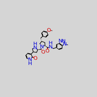 COc1ccc(C[C@@H]2C[C@@H](C(=O)NCc3ccc4c(c3)nnn4C)N(C(=O)[C@H]3CC(c4ccc[nH]c4=O)CN3)C2)cc1